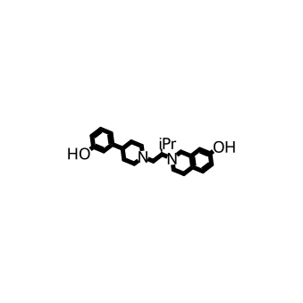 CC(C)[C@@H](CN1CCC(c2cccc(O)c2)CC1)N1CCc2ccc(O)cc2C1